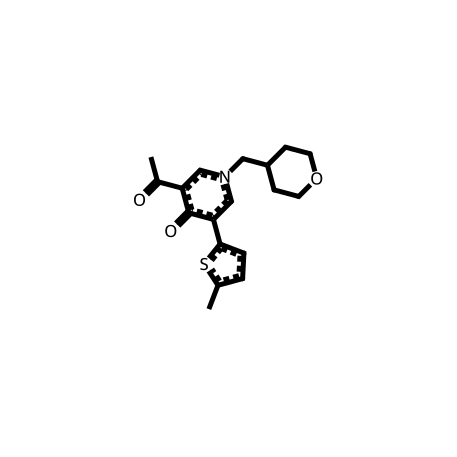 CC(=O)c1cn(CC2CCOCC2)cc(-c2ccc(C)s2)c1=O